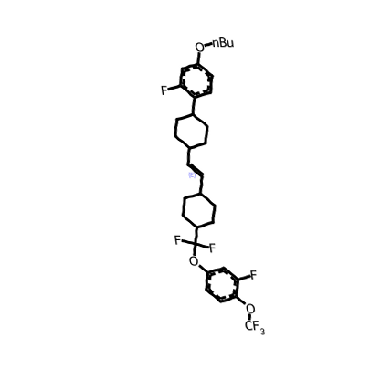 CCCCOc1ccc(C2CCC(/C=C/C3CCC(C(F)(F)Oc4ccc(OC(F)(F)F)c(F)c4)CC3)CC2)c(F)c1